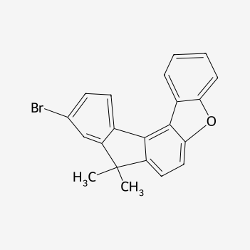 CC1(C)c2cc(Br)ccc2-c2c1ccc1oc3ccccc3c21